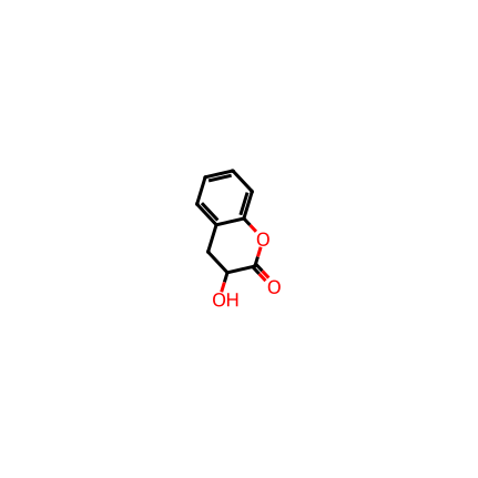 O=C1Oc2ccccc2CC1O